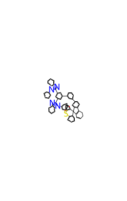 C1=CC2=C(CC1)c1ccc(-c3cccc(-c4cc(-c5nc6ccccc6n5-c5ccccc5)cc(-c5nc6ccccc6n5-c5ccccc5)c4)c3)cc1C21c2ccccc2Sc2ccccc21